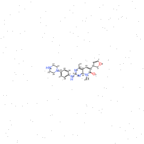 CCn1c(=O)c(C2C=COC2)cc2c(C)nc(Nc3ccc(N4CCNCC4)cc3)nc21